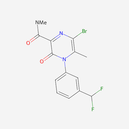 CNC(=O)c1nc(Br)c(C)n(-c2cccc(C(F)F)c2)c1=O